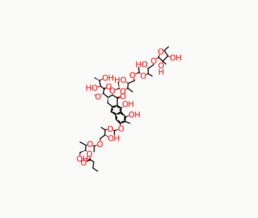 CCCC(=O)O[C@@H](CO)C(C)OC(C)OC[C@H](O)C(C)OC(C)Oc1cc2cc3c(c(O)c2c(O)c1C)C(=O)[C@@H](O[C@@H](C)OC(C)[C@@H](O)COC(C)OC(C)[C@H](O)COC1OC(C)[C@@H](O)C1(C)O)[C@H]([C@H](OC)C(=O)[C@@H](O)[C@@H](C)O)C3